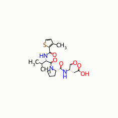 Cc1ccsc1C(=O)N[C@H](C(=O)N1CCC[C@H]1C(=O)N[C@H](C=O)CC(=O)O)C(C)C